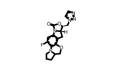 O=C1O[C@@H](Cn2ccnn2)[C@@H]2Cc3c(cc(F)c4c3OCC3CCCN43)N12